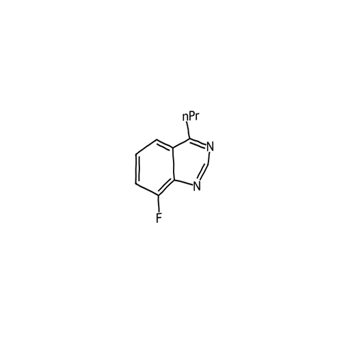 CCCc1ncnc2c(F)cccc12